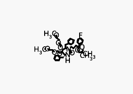 COCCOCOC1C(OCOCCOC)[C@@H](Cc2ccccc2)NC(=O)N(CCCC2(c3ccc(F)cc3)OCC(C)(C)CO2)C1Cc1ccccc1